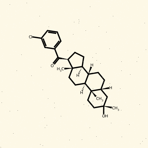 C[C@@]1(O)CC[C@@]2(C)[C@H](CC[C@@H]3[C@@H]2CC[C@]2(C)[C@@H](C(=O)c4cccc(Cl)c4)CC[C@@H]32)C1